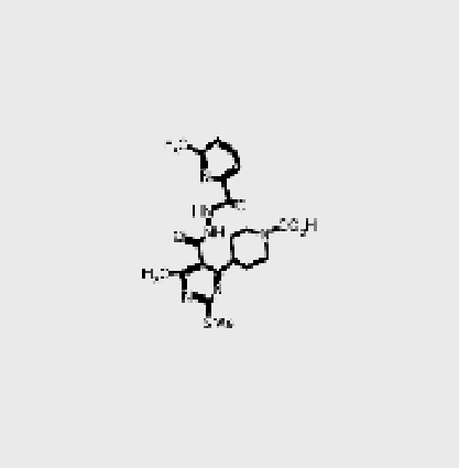 CSc1nc(C)c(C(=O)NNC(=O)c2cccc(C(F)(F)F)n2)c(C2CCN(C(=O)O)CC2)n1